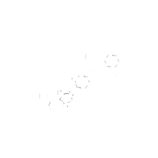 O=C(O)c1nc[n+](-c2ccc(OCc3c(Cl)cccc3C(F)(F)F)cn2)[nH]1